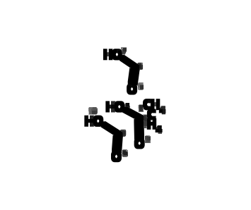 C.C.O=CO.O=CO.O=CO